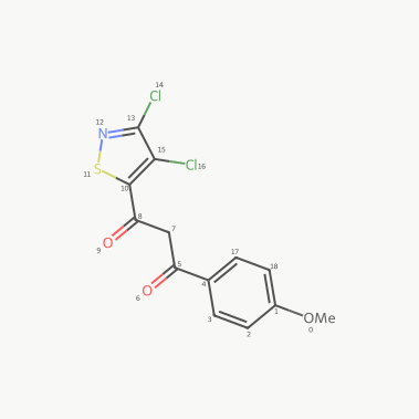 COc1ccc(C(=O)CC(=O)c2snc(Cl)c2Cl)cc1